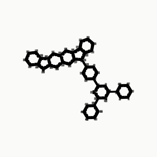 c1ccc(-c2cc(-c3ccc(-n4c5ccccc5c5cc6cc7c(cc6cc54)sc4ccccc47)cc3)nc(-c3ccccc3)n2)cc1